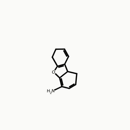 NC1=C2OC3=C(C=CCC3)C2CC=C1